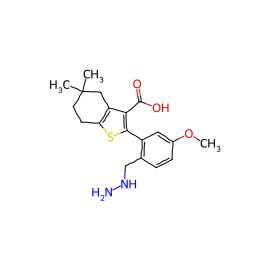 COc1ccc(CNN)c(-c2sc3c(c2C(=O)O)CC(C)(C)CC3)c1